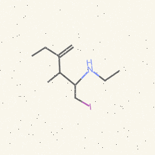 C=C(CC)C(C)C(CI)NCC